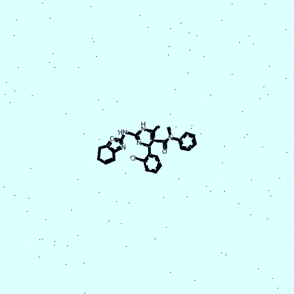 CC1=C(C(=O)N(C)c2ccccc2)C(c2ccccc2Cl)N=C(Nc2nc3c(o2)CCC=C3)N1